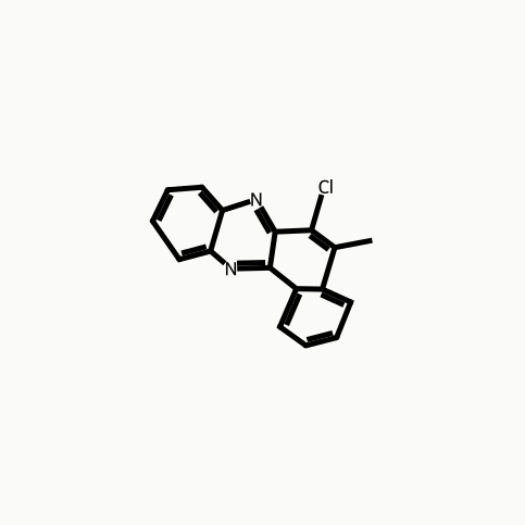 Cc1c(Cl)c2nc3ccccc3nc2c2ccccc12